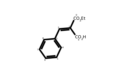 CCOC(=O)C(=Cc1ccccc1)C(=O)O